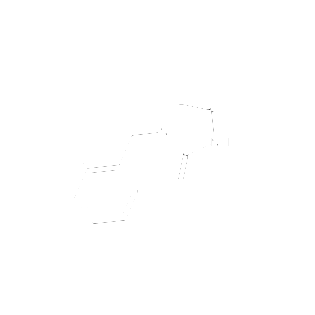 O=C1CN(Cc2ccccc2)C(=S)N1